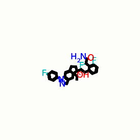 CCC12Cc3cnn(-c4ccc(F)cc4)c3C=C1CC[C@@]2(O)CCc1cccc(F)c1[C@@H](F)C(N)=O